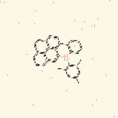 Cc1cc(C)c(B2c3ccccc3-c3ccc4ccc5cccc6cc2c3c4c56)c(C)c1